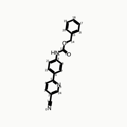 N#Cc1ccc(-c2ccc(NC(=O)OCc3ccccc3)cc2)nc1